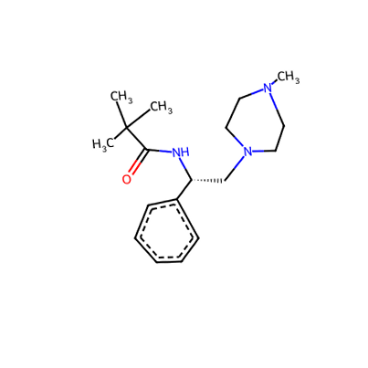 CN1CCN(C[C@@H](NC(=O)C(C)(C)C)c2ccccc2)CC1